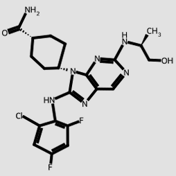 C[C@@H](CO)Nc1ncc2nc(Nc3c(F)cc(F)cc3Cl)n([C@H]3CC[C@@H](C(N)=O)CC3)c2n1